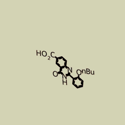 CCCCOc1ccccc1-c1nc2ccc(C(=O)O)cc2c(=O)[nH]1